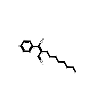 CCCCCCCCC(C=O)=C(Cl)c1ccccc1